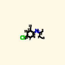 CC/C(C)=N\c1ccc(Cl)cc1C